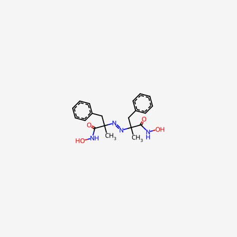 CC(Cc1ccccc1)(N=NC(C)(Cc1ccccc1)C(=O)NO)C(=O)NO